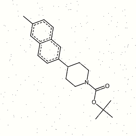 Cc1ccc2cc(C3CCN(C(=O)OC(C)(C)C)CC3)ccc2c1